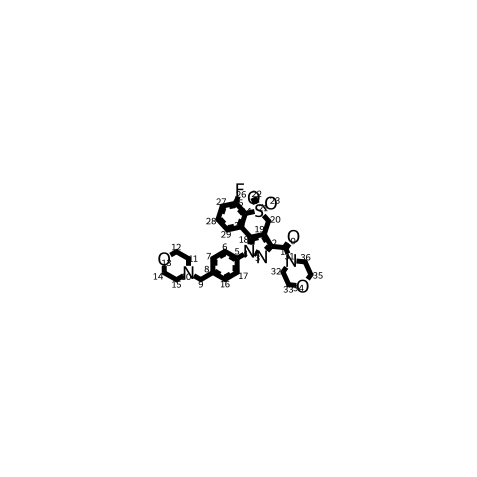 O=C(c1nn(-c2ccc(CN3CCOCC3)cc2)c2c1CS(=O)(=O)c1c(F)cccc1-2)N1CCOCC1